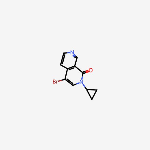 O=c1c2cnccc2c(Br)cn1C1CC1